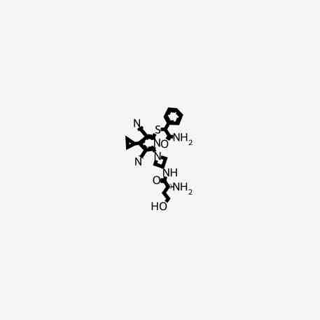 N#Cc1c(SC(C(N)=O)c2ccccc2)nc(N2CC(NC(=O)[C@H](N)CCO)C2)c(C#N)c1C1CC1